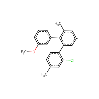 Cc1c[c]cc(-c2ccc(C(F)(F)F)cc2Cl)c1-c1cccc(OC(F)(F)F)c1